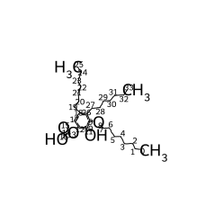 CCCCCCCCOc1c(O)c(OC(=O)O)cc(CCCCCCC)c1CCCCCCC